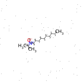 CCCCCCCCCC=[N+]([O-])C(C)C